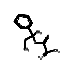 C=C(C)C(=O)OC(C)(CC)c1ccccc1